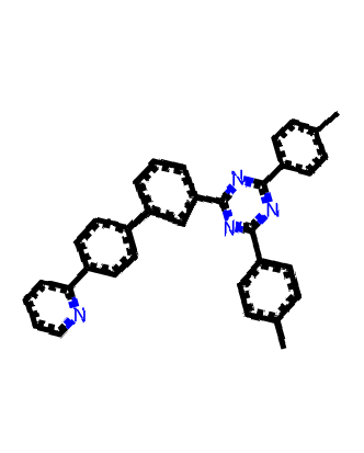 Cc1ccc(-c2nc(-c3ccc(C)cc3)nc(-c3cccc(-c4ccc(-c5ccccn5)cc4)c3)n2)cc1